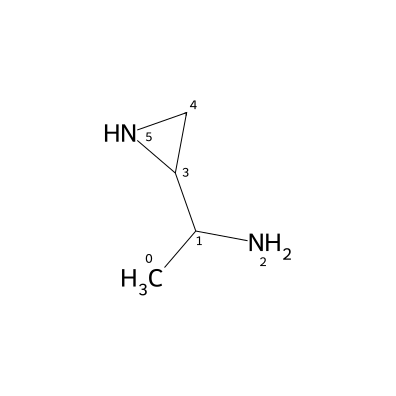 CC(N)C1CN1